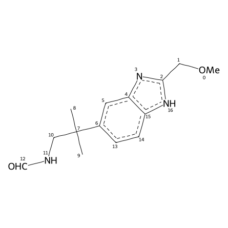 COCc1nc2cc(C(C)(C)CNC=O)ccc2[nH]1